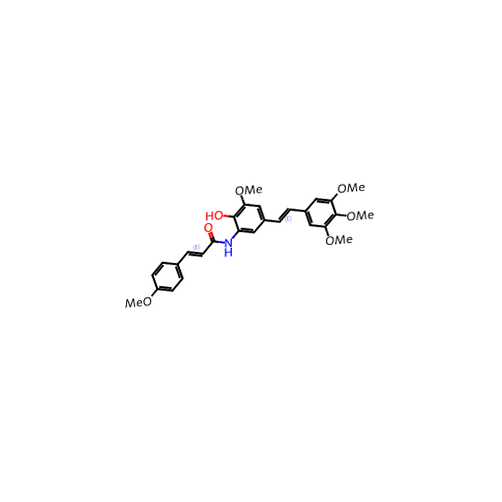 COc1ccc(/C=C/C(=O)Nc2cc(/C=C/c3cc(OC)c(OC)c(OC)c3)cc(OC)c2O)cc1